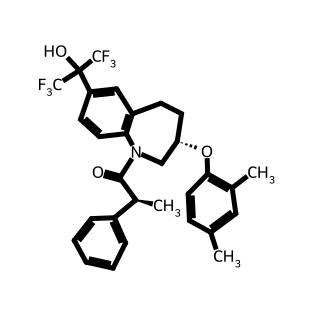 Cc1ccc(O[C@H]2CCc3cc(C(O)(C(F)(F)F)C(F)(F)F)ccc3N(C(=O)[C@@H](C)c3ccccc3)C2)c(C)c1